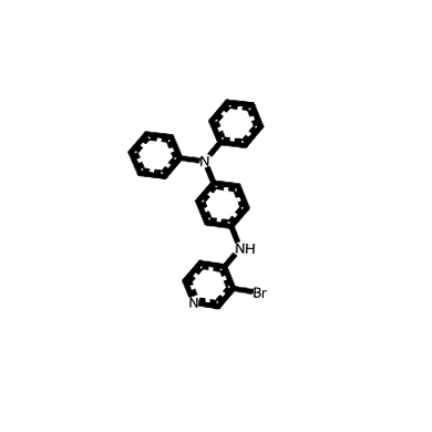 Brc1cnccc1Nc1ccc(N(c2ccccc2)c2ccccc2)cc1